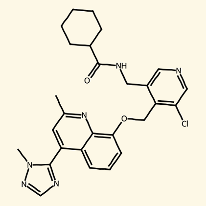 Cc1cc(-c2ncnn2C)c2cccc(OCc3c(Cl)cncc3CNC(=O)C3CCCCC3)c2n1